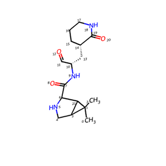 CC1(C)C2CNC(C(=O)N[C@H](C=O)C[C@@H]3CCCNC3=O)C21